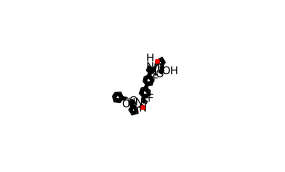 O=C(O)N1CCC[C@H]1c1nc(-c2ccc(-c3ccc(-c4cnc([C@@H]5CCCN5C(=O)OCc5ccccc5)[nH]4)c(F)c3)cc2F)c[nH]1